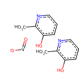 O=C(O)c1ncccc1O.O=C(O)c1ncccc1O.[O]=[V][O-]